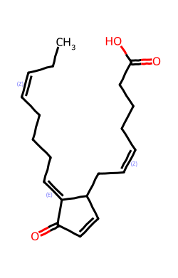 CC/C=C\CCC/C=C1/C(=O)C=CC1C/C=C\CCCC(=O)O